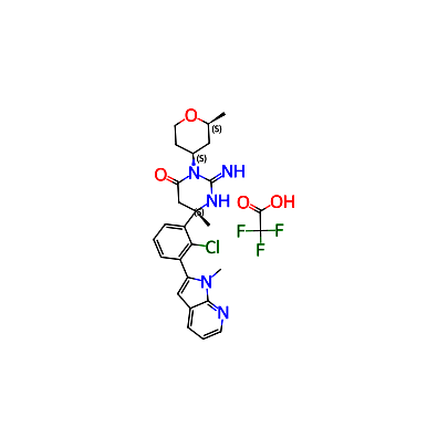 C[C@H]1C[C@@H](N2C(=N)N[C@](C)(c3cccc(-c4cc5cccnc5n4C)c3Cl)CC2=O)CCO1.O=C(O)C(F)(F)F